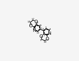 [c]1c(-c2ccnc3c2OCCO3)cnc2c1OCCO2